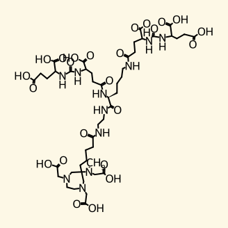 CN(CC(=O)O)C1(CCCCC(=O)NCCNC(=O)[C@H](CCCCNC(=O)CCC(NC(=O)NC(CCC(=O)O)C(=O)O)C(=O)O)NC(=O)CCC(NC(=O)NC(CCC(=O)O)C(=O)O)C(=O)O)CN(CC(=O)O)CCN(CC(=O)O)C1